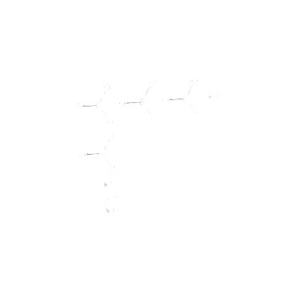 [Ir+3].[Ir+3].[Ir+3].[Ir+3].[O-]B([O-])[O-].[O-]B([O-])[O-].[O-]B([O-])[O-].[O-]B([O-])[O-]